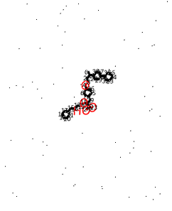 CC(=CCOc1ccc(CC(OCCCCc2ccccc2)C(=O)O)cc1)c1ccc(-c2ccccc2)cc1